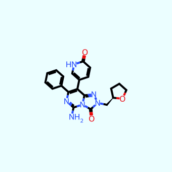 Nc1nc(-c2ccccc2)c(-c2ccc(=O)[nH]c2)c2nn(C[C@H]3CCCO3)c(=O)n12